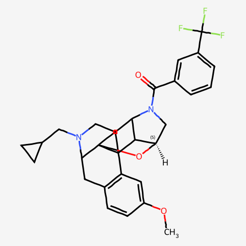 COc1ccc2c(c1)C13CCN(CC4CC4)C(C2)C12CCC1C3[C@@H](CN1C(=O)c1cccc(C(F)(F)F)c1)O2